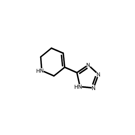 C1=C(c2nnn[nH]2)CNCC1